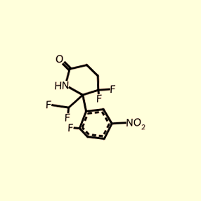 O=C1CCC(F)(F)C(c2cc([N+](=O)[O-])ccc2F)(C(F)F)N1